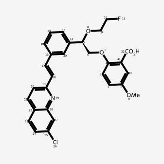 COc1ccc(OC[C@H](OCCF)c2cccc(/C=C/c3ccc4ccc(Cl)cc4n3)c2)c(C(=O)O)c1